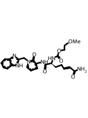 COCCOC(=O)N[C@@H](CC/C=C/C(N)=O)C(=O)Nc1cccn(Cc2nc3ccccc3[nH]2)c1=O